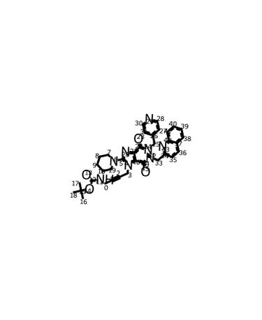 CC#CCn1c(N2CCC[C@@H](NC(=O)OC(C)(C)C)C2)nc2c(=O)n(Cc3ccncc3)n(Cc3ccc4ccccc4n3)c(=O)c21